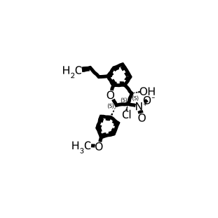 C=CCc1cccc2c1O[C@@H](c1ccc(OC)cc1)[C@](Cl)([N+](=O)[O-])[C@H]2O